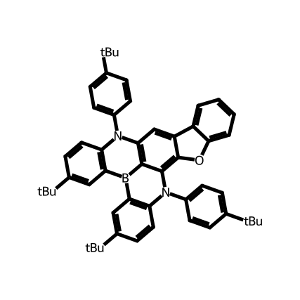 CC(C)(C)c1ccc(N2c3ccc(C(C)(C)C)cc3B3c4cc(C(C)(C)C)ccc4N(c4ccc(C(C)(C)C)cc4)c4c3c2cc2c4oc3ccccc32)cc1